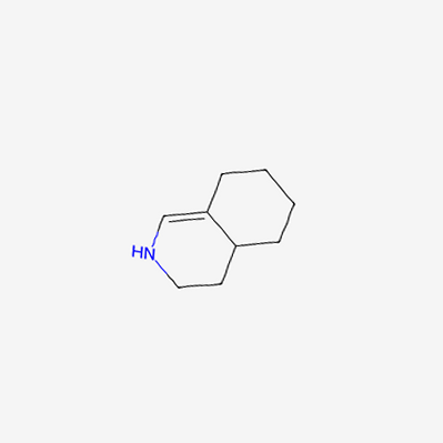 C1=C2CCCCC2CCN1